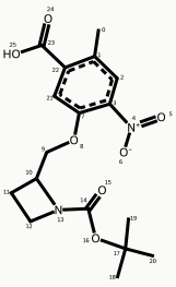 Cc1cc([N+](=O)[O-])c(OCC2CCN2C(=O)OC(C)(C)C)cc1C(=O)O